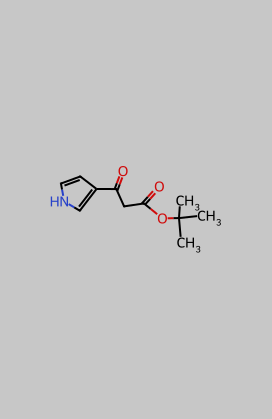 CC(C)(C)OC(=O)CC(=O)c1cc[nH]c1